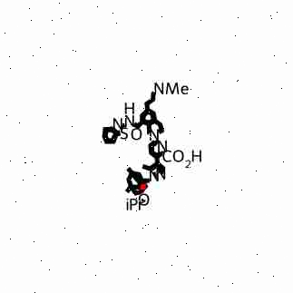 CNCCCc1cc2c(c(C(=O)Nc3nc4ccccc4s3)c1)CN(c1ccc(-c3cnn(CC45CC6(C)CC(C)(C4)CC(OC(C)C)(C6)C5)c3C)c(C(=O)O)n1)CC2